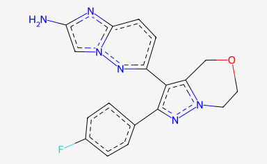 Nc1cn2nc(-c3c(-c4ccc(F)cc4)nn4c3COCC4)ccc2n1